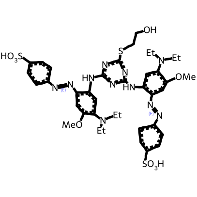 CCN(CC)c1cc(Nc2nc(Nc3cc(N(CC)CC)c(OC)cc3/N=N/c3ccc(S(=O)(=O)O)cc3)nc(SCCO)n2)c(/N=N/c2ccc(S(=O)(=O)O)cc2)cc1OC